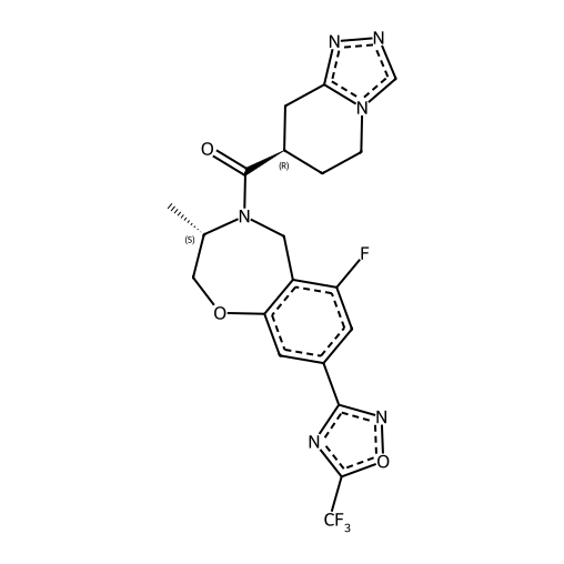 C[C@H]1COc2cc(-c3noc(C(F)(F)F)n3)cc(F)c2CN1C(=O)[C@@H]1CCn2cnnc2C1